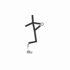 CC[C@@H](C)CCC1OC1(C)C